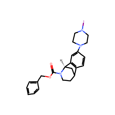 O=C(OCc1ccccc1)N1CCC2C[C@@H]1c1cc(N3CCN(I)CC3)ccc12